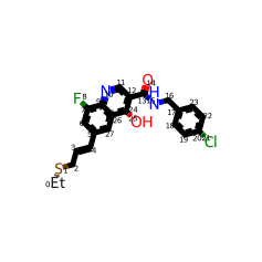 CCSCC=Cc1cc(F)c2ncc(C(=O)NCc3ccc(Cl)cc3)c(O)c2c1